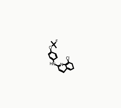 CC(C)(F)Oc1ccc(Nc2ccc3c(n2)=C(Cl)CCC=3)cc1